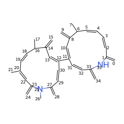 C=C1/C=C\C=C/C(C)C(=C)/C=C(C2=C\C(=C)C(C)/C=C\C(C)=C/C(=C)N(C)C(=C)/C=C\2)\C=C/C(=C)N1